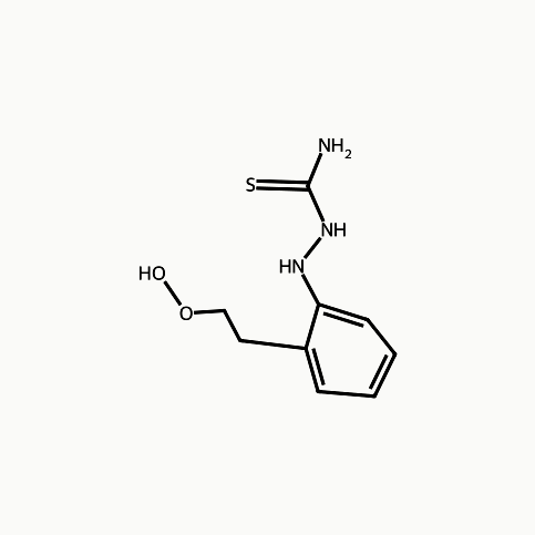 NC(=S)NNc1ccccc1CCOO